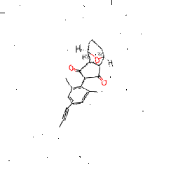 CC#Cc1cc(C)c(C2C(=O)C3C(C2=O)[C@H]2CC[C@@H]3O2)c(C)c1